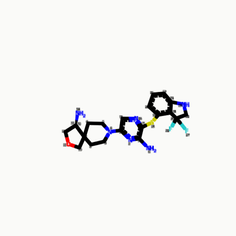 Nc1nc(N2CCC3(CC2)COC[C@H]3N)cnc1Sc1cccc2c1C(F)(F)CN2